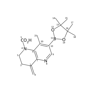 C=C1CCN(C(=O)O)c2c1ncc(B1OC(C)(C)C(C)(C)O1)c2C